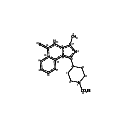 CCOC(=O)N1CCC(c2nn(C)c3[nH]c(=O)c4ccccc4c23)CC1